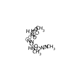 COc1cccc(C(=O)NC2CC3CCCN(c4ccc(C(=O)N[C@@H](C)c5ccc(N6CCN(C)CC6)cc5)cn4)C3C2)c1C